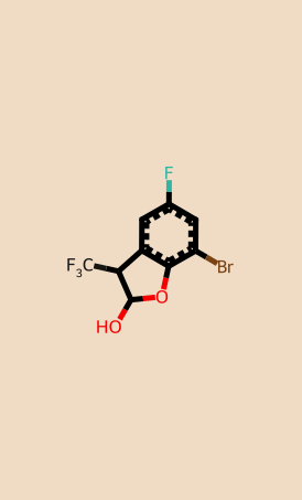 OC1Oc2c(Br)cc(F)cc2C1C(F)(F)F